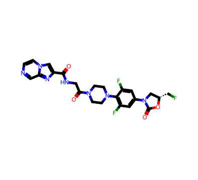 O=C(NCC(=O)N1CCN(c2c(F)cc(N3C[C@H](CF)OC3=O)cc2F)CC1)c1cn2ccncc2n1